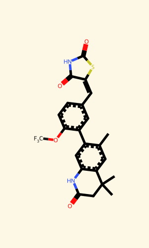 Cc1cc2c(cc1-c1cc(/C=C3/SC(=O)NC3=O)ccc1OC(F)(F)F)NC(=O)CC2(C)C